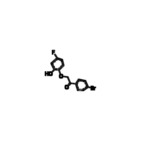 O=C(COc1ccc(F)cc1O)c1ccc(Br)cc1